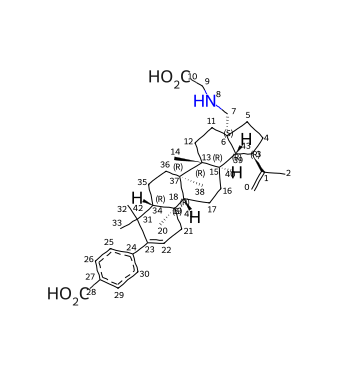 C=C(C)[C@@H]1CC[C@]2(CNCC(=O)O)CC[C@]3(C)[C@H](CC[C@@H]4[C@@]5(C)CC=C(c6ccc(C(=O)O)cc6)C(C)(C)[C@@H]5CC[C@]43C)[C@@H]12